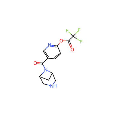 O=C(c1ccc(OC(=O)C(F)(F)F)nc1)N1C2CNCC1C2